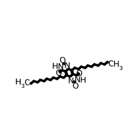 CCCCCCCCCCCCc1c2c(c(CCCCCCCCCCCC)c3c1=NC(=O)NC3=O)=NC(=O)NC2=O